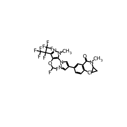 CN(C(=O)c1cc(-c2cnn(-c3c(OC(F)F)c(C(F)(C(F)(F)F)C(F)(F)F)nn3C)c2)ccc1Cl)C1CC1